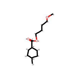 COCCCCOC(=O)C1CCC(C)CC1